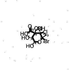 C[C@@]1(Br)O[C@@H](O)[C@H](O)[C@](O)(C(=O)O)[C@@]1(O)Cl